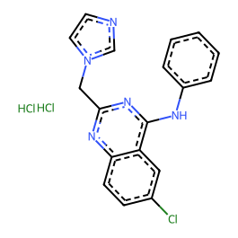 Cl.Cl.Clc1ccc2nc(Cn3ccnc3)nc(Nc3ccccc3)c2c1